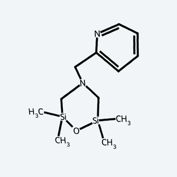 C[Si]1(C)CN(Cc2ccccn2)C[Si](C)(C)O1